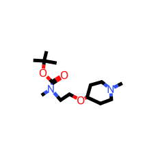 CN1CCC(OCCN(C)C(=O)OC(C)(C)C)CC1